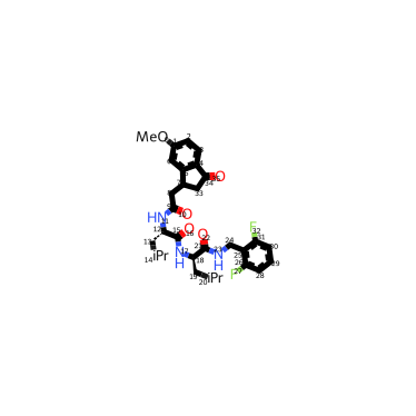 COc1ccc2c(c1)C(CC(=O)N[C@@H](CC(C)C)C(=O)N[C@H](CC(C)C)C(=O)NCc1c(F)cccc1F)CC2=O